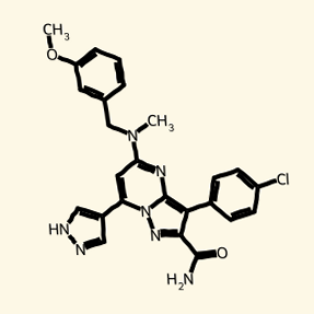 COc1cccc(CN(C)c2cc(-c3cn[nH]c3)n3nc(C(N)=O)c(-c4ccc(Cl)cc4)c3n2)c1